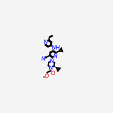 C=Cc1cc(Nc2cc(C#N)c(N3CCN(C(=O)COC)[C@H](C4CC4)C3)nc2C2CC2)ccn1